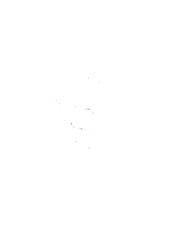 O=S1(c2ccccc2)=Nc2ccccc2C(c2ccccc2)=C1c1cccc2oc3ccc(-c4ccc(-c5ccccc5)cc4)cc3c12